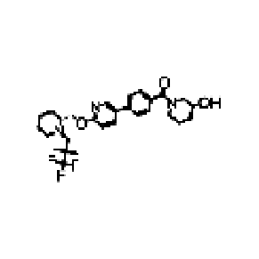 CC(C)(CN1CCCC[C@@H]1COc1ccc(-c2ccc(C(=O)N3CCCC(O)C3)cc2)cn1)C(F)(F)F